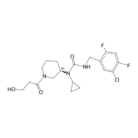 O=C(CCO)N1CCC[C@@H](N(C(=O)NCc2cc(Cl)c(F)cc2F)C2CC2)C1